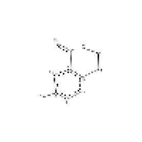 C/C=C\c1ccc(C)nc1C=S